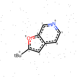 CC(C)(C)c1cc2ccncc2o1